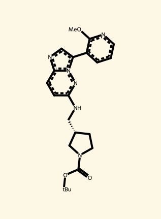 COc1ncccc1-c1cnc2ccc(NC[C@@H]3CCN(C(=O)OC(C)(C)C)C3)nn12